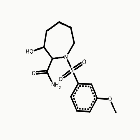 COc1cccc(S(=O)(=O)N2CCC[CH]C(O)C2C(N)=O)c1